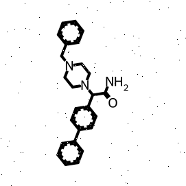 NC(=O)C(c1ccc(-c2ccccc2)cc1)N1CCN(Cc2ccccc2)CC1